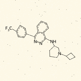 FC(F)(F)c1ccc(-c2nnc(NC3CCCN(C4CCC4)C3)c3ccccc23)cc1